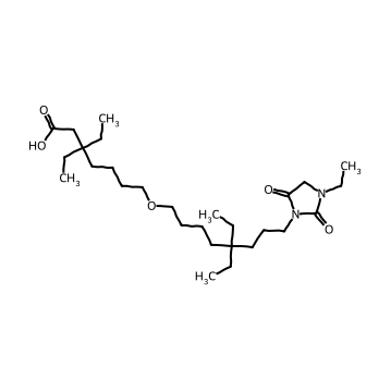 CCN1CC(=O)N(CCCC(CC)(CC)CCCCOCCCCC(CC)(CC)CC(=O)O)C1=O